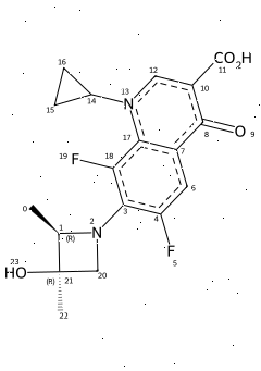 C[C@H]1N(c2c(F)cc3c(=O)c(C(=O)O)cn(C4CC4)c3c2F)C[C@@]1(C)O